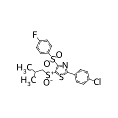 CC(C)C[S+]([O-])c1sc(-c2ccc(Cl)cc2)nc1S(=O)(=O)c1ccc(F)cc1